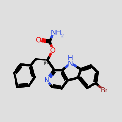 NC(=O)O[C@H](Cc1ccccc1)c1nccc2c1[nH]c1ccc(Br)cc12